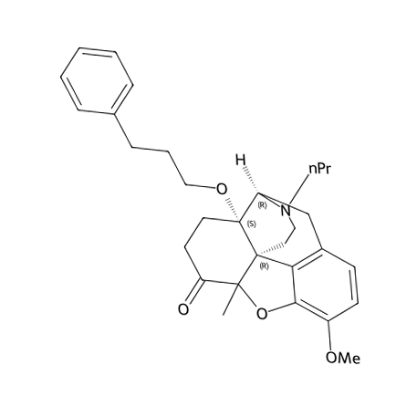 CCCN1CC[C@]23c4c5ccc(OC)c4OC2(C)C(=O)CC[C@@]3(OCCCc2ccccc2)[C@H]1C5